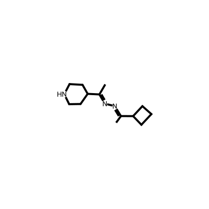 C/C(=N\N=C(/C)C1CCNCC1)C1CCC1